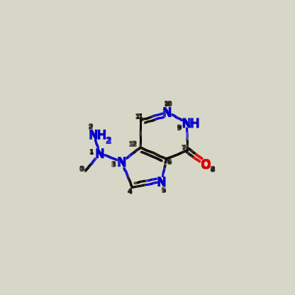 CN(N)n1cnc2c(=O)[nH]ncc21